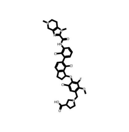 COc1c(CN2CCC(C(=O)O)C2)cc(Cl)c(OC2CCc3ccc(-c4cccc(NC(=O)c5nc6c(n5C)CCN(C)C6)c4Cl)c(Cl)c32)c1F